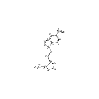 CNc1ccc2c(ccn2CCC2CCCN2C)c1